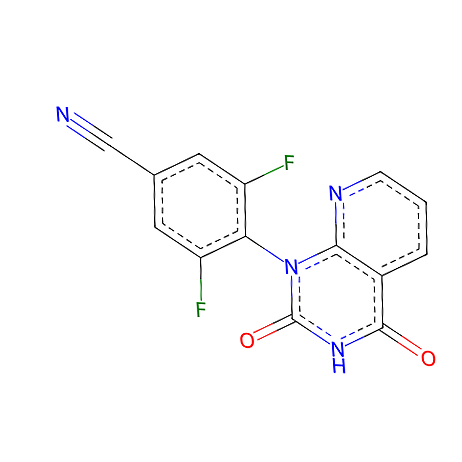 N#Cc1cc(F)c(-n2c(=O)[nH]c(=O)c3cccnc32)c(F)c1